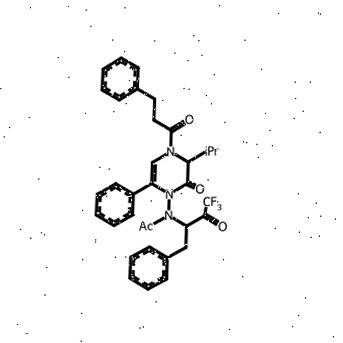 CC(=O)N(C(Cc1ccccc1)C(=O)C(F)(F)F)N1C(=O)C(C(C)C)N(C(=O)CCc2ccccc2)C=C1c1ccccc1